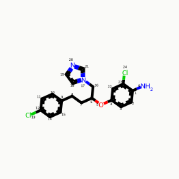 Nc1ccc(OC(CCc2ccc(Cl)cc2)Cn2ccnc2)cc1Cl